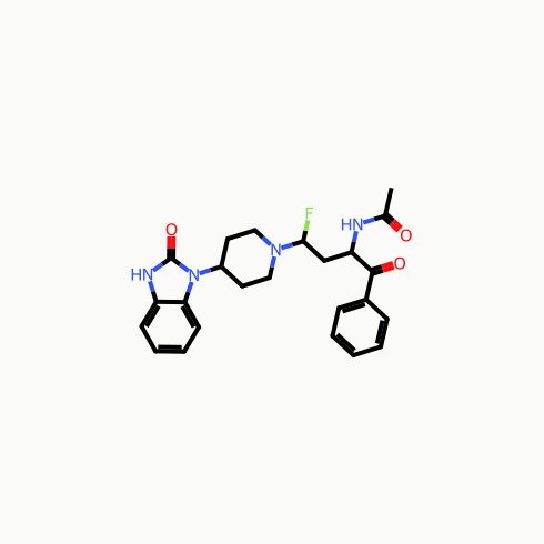 CC(=O)NC(CC(F)N1CCC(n2c(=O)[nH]c3ccccc32)CC1)C(=O)c1ccccc1